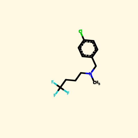 CN(CCCC(F)(F)F)Cc1ccc(Cl)cc1